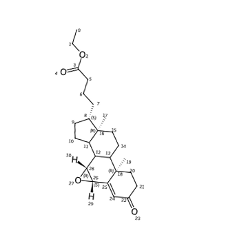 CCOC(=O)CCC[C@H]1CCC2C3C(CC[C@@]21C)[C@@]1(C)CCC(=O)C=C1[C@@H]1O[C@H]31